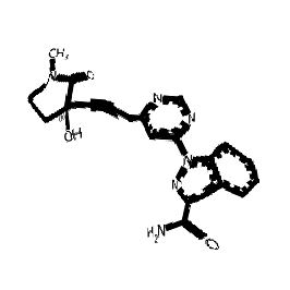 CN1CC[C@@](O)(C#Cc2cc(-n3nc(C(N)=O)c4ccccc43)ncn2)C1=O